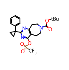 CC(C)(C)OC(=O)N1CCc2nc(C3(c4ccccc4)CC3)nc(OS(=O)(=O)C(F)(F)F)c2CC1